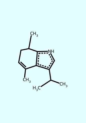 CC1=CCC(C)c2[nH]cc(C(C)C)c21